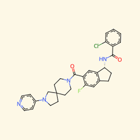 O=C(N[C@@H]1CCc2cc(F)c(C(=O)N3CCC4(CC3)CCN(c3ccncc3)C4)cc21)c1ccccc1Cl